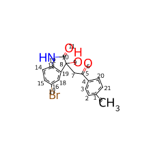 Cc1ccc(C(=O)CC2(O)C(=O)Nc3ccc(Br)cc32)cc1